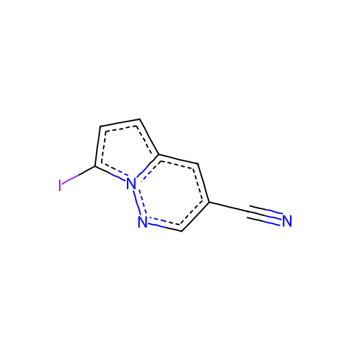 N#Cc1cnn2c(I)ccc2c1